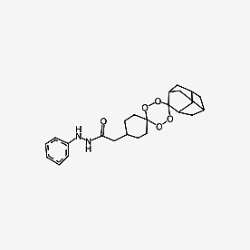 O=C(CC1CCC2(CC1)OOC1(OO2)C2CC3CC(C2)CC1C3)NNc1ccccc1